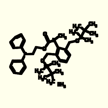 B.CN(C(=O)OCCP(c1ccccc1)c1ccccc1)c1c(CO[Si](C)(C)C(C)(C)C)cccc1CO[Si](C)(C)C(C)(C)C